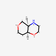 C1CO[C@H]2CCOC[C@H]2N1